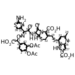 CC(=O)Oc1ccc(C(ON=C(C(=O)N[C@@H]2C(=O)N3C(C(=O)O)=C(CSC4=CC(C)=NC5=CN(C(=O)O)NN54)CS[C@H]23)c2csc(N)n2)C(=O)O)cc1OC(C)=O